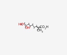 C/C(=C\CCCCC(O)CO)C(=O)O